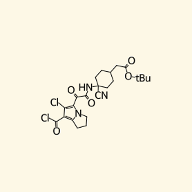 CC(C)(C)OC(=O)CC1CCC(C#N)(NC(=O)C(=O)c2c(Cl)c(C(=O)Cl)c3n2CCC3)CC1